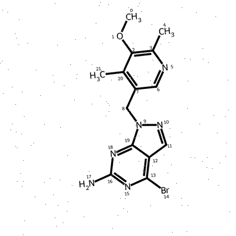 COc1c(C)ncc(Cn2ncc3c(Br)nc(N)nc32)c1C